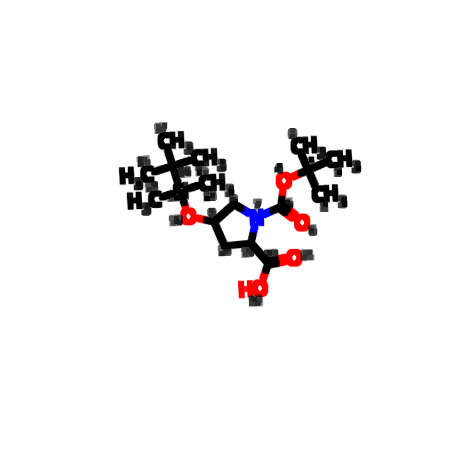 CC(C)(C)OC(=O)N1CC(O[Si](C)(C)C(C)(C)C)CC1C(=O)O